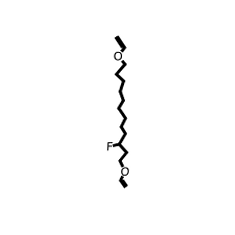 C=COCCCCCCCCCC(F)CCOC=C